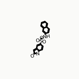 O=C1C=c2cc(S(=O)(=O)ONc3ccc4ccccc4c3)ccc2=N1